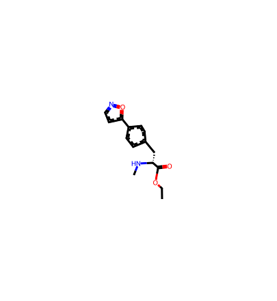 CCOC(=O)[C@@H](Cc1ccc(-c2ccno2)cc1)NC